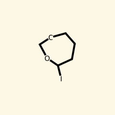 IC1CCCCCO1